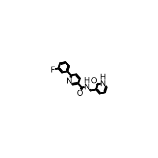 O=C(NCc1ccc[nH]c1=O)c1ccc(-c2cccc(F)c2)nc1